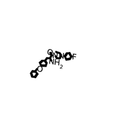 NC(Cc1ccc(OCc2ccccc2)cc1)C(=O)N1CCN(c2ccc(F)cc2)CC1